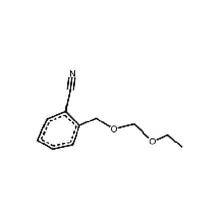 CCOCOCc1ccccc1C#N